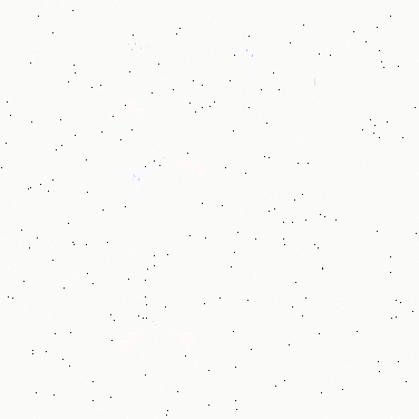 COc1cnc(C(F)F)cc1C1OCCN(c2ccc(C(=O)OC(C)(C)C)cc2)C1=O